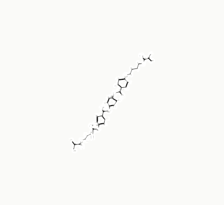 C=C(C)C(=O)OCCCCOc1ccc(C(=O)Oc2ccc(OC(=O)c3ccc(OC(=O)NCCOC(=O)C(=C)C)cc3)cc2)cc1